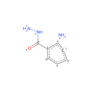 N.NNC(=O)c1ccccc1